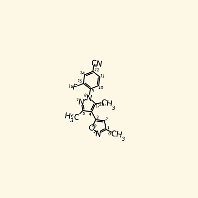 Cc1cc(-c2c(C)nn(-c3ccc(C#N)cc3F)c2C)on1